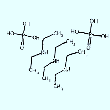 CCNCC.CCNCC.CCNCC.O=P(O)(O)O.O=P(O)(O)O